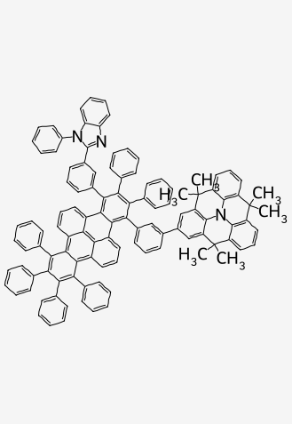 CC1(C)c2cccc3c2N2c4c1cccc4C(C)(C)c1cc(-c4cccc(-c5c(-c6ccccc6)c(-c6ccccc6)c(-c6cccc(-c7nc8ccccc8n7-c7ccccc7)c6)c6c7cccc8c9c(-c%10ccccc%10)c(-c%10ccccc%10)c(-c%10ccccc%10)c(-c%10ccccc%10)c9c9cccc(c56)c9c87)c4)cc(c12)C3(C)C